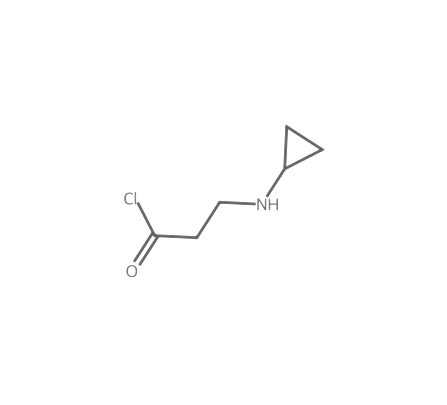 O=C(Cl)CCNC1CC1